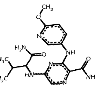 COc1ccc(Nc2nc(NC(C(N)=O)C(C)C)cnc2C(N)=O)cn1